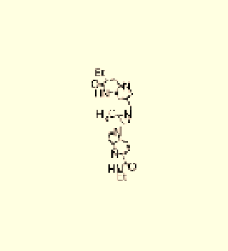 CCNC(=O)c1ccc2c(ccn2[C@H]2CN(Cc3cnc4cc(CC)c(=O)[nH]c4c3)[C@@H]2C)n1